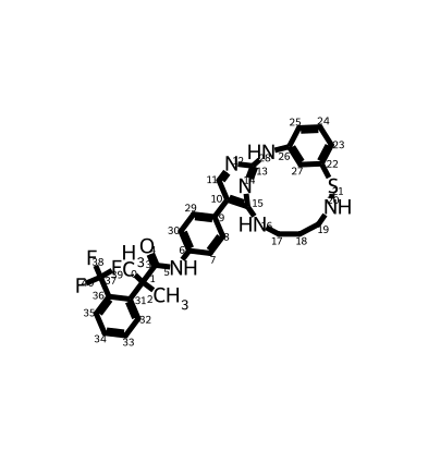 CC(C)(C(=O)Nc1ccc(-c2cnc3nc2NCCCNSc2cccc(c2)N3)cc1)c1ccccc1C(F)(F)F